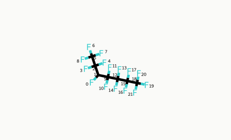 FC(C(F)(F)C(F)(F)F)C(F)(F)C(F)(F)C(F)(F)C(F)(F)F